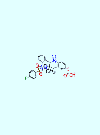 CC1(C)Cc2cc(OC(=O)O)ccc2NC1c1ccccc1NS(=O)(=O)c1ccc(F)cc1